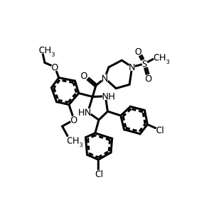 CCOc1ccc(OCC)c(C2(C(=O)N3CCN(S(C)(=O)=O)CC3)NC(c3ccc(Cl)cc3)C(c3ccc(Cl)cc3)N2)c1